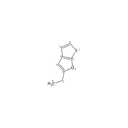 CCc1cc2ccsc2o1